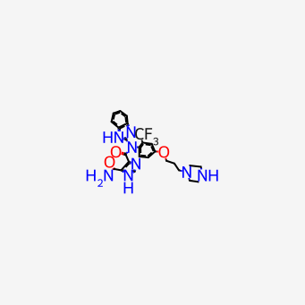 NC(=O)c1[nH]cnc1C(=O)N(c1nc2ccccc2[nH]1)c1ccc(OCCCN2CCNCC2)cc1C(F)(F)F